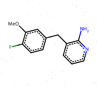 COc1cc(Cc2cccnc2N)ccc1F